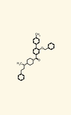 Cc1ccc(-c2ccc(C(=O)N3CCC(N(C)CCc4ccccc4)CC3)cc2OCc2ccccc2)cc1